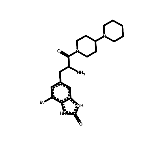 CCc1cc(CC(N)C(=O)N2CCC(N3CCCCC3)CC2)cc2[nH]c(=O)[nH]c12